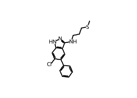 CSCCCNc1n[nH]c2cc(Cl)c(-c3ccccc3)cc12